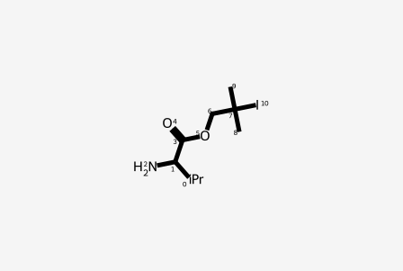 CC(C)C(N)C(=O)OCC(C)(C)I